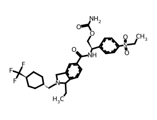 CCC1c2ccc(C(=O)N[C@@H](COC(N)=O)c3ccc(S(=O)(=O)CC)cc3)cc2CN1C[C@H]1CC[C@H](C(F)(F)F)CC1